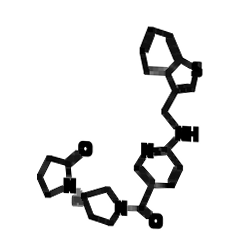 O=C(c1ccc(NCc2csc3ccccc23)nc1)N1CC[C@H](N2CCCC2=O)C1